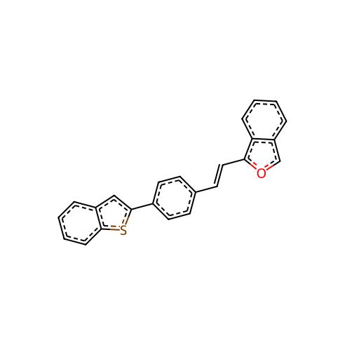 C(=Cc1occ2ccccc12)c1ccc(-c2cc3ccccc3s2)cc1